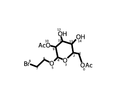 CC(=O)OCC1OC(OCCBr)C(OC(C)=O)C(O)C1O